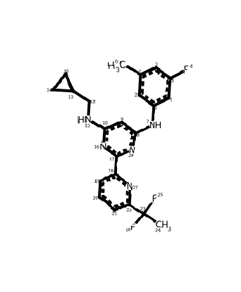 Cc1cc(F)cc(Nc2cc(NCC3CC3)nc(-c3cccc(C(C)(F)F)n3)n2)c1